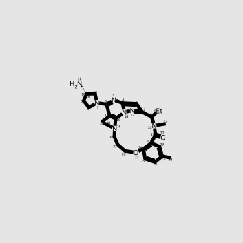 CCC1c2cc3nc(N4CC[C@H](N)C4)c(C)c(n3n2)N(C)CCCOc2ccc(C)cc2C(=O)N1C